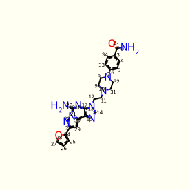 NC(=O)c1ccc(N2CCN(CCn3cnc4c3nc(N)n3nc(-c5ccco5)cc43)CC2)cc1